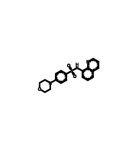 O=S(=O)(Nc1cccc2cccnc12)c1ccc(N2CCOCC2)cc1